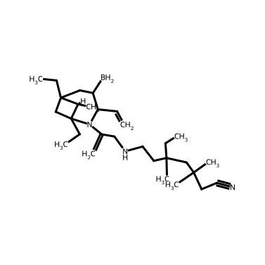 BC1CC2(CC)CC(CC)([C@@H]2C)N(C(=C)CNCCC(C)(CC)CC(C)(C)CC#N)C1C=C